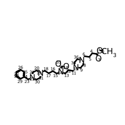 COC(=O)CCCN1CCN(CC2CN(CCCCN3CCN(Cc4ccccc4)CC3)C(=O)O2)CC1